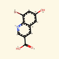 O=C(O)c1cnc2c(Br)cc(O)cc2c1